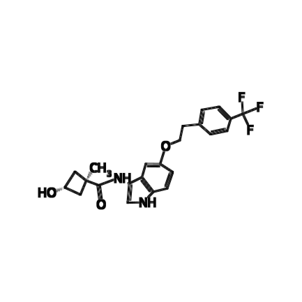 C[C@]1(C(=O)Nc2c[nH]c3ccc(OCCc4ccc(C(F)(F)F)cc4)cc23)C[C@H](O)C1